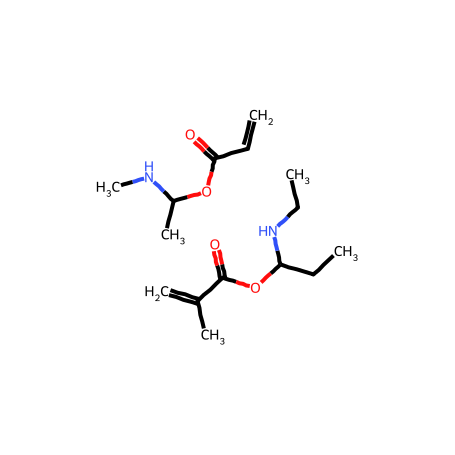 C=C(C)C(=O)OC(CC)NCC.C=CC(=O)OC(C)NC